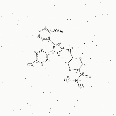 COc1ccccc1-n1nc(OC2CCN(C(=O)N(C)C)CC2)cc1-c1ccc(Cl)cc1